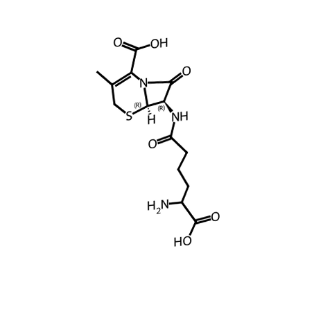 CC1=C(C(=O)O)N2C(=O)[C@@H](NC(=O)CCCC(N)C(=O)O)[C@H]2SC1